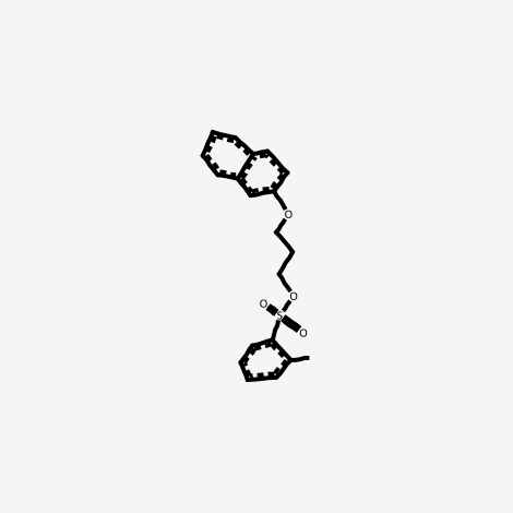 Cc1ccccc1S(=O)(=O)OCCCOc1ccc2ccccc2c1